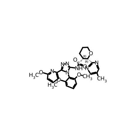 COc1cccc(-c2nnc(NS(=O)(=O)[C@@H]3CCCO[C@@H]3c3ncc(C)cn3)n2-c2c(OC)cccc2OC)n1